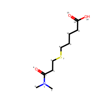 CN(C)C(=O)CCSCCCCC(=O)O